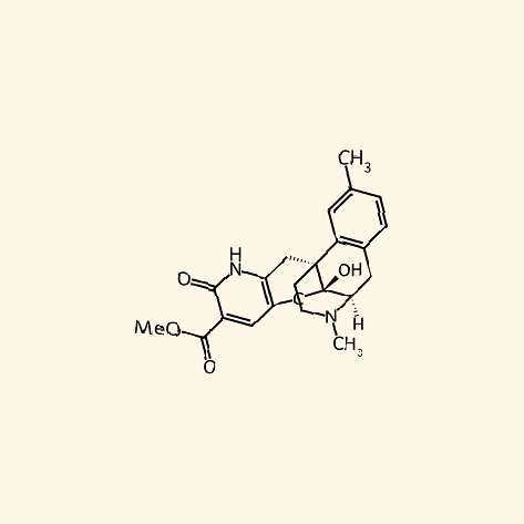 COC(=O)c1cc2c([nH]c1=O)C[C@]13CCN(C)[C@H](Cc4ccc(C)cc41)[C@]3(O)C2